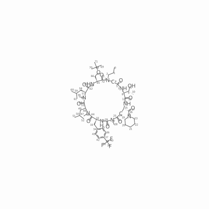 CCCN1CC(=O)N[C@@H]([C@@H](C)O)C(=O)N[C@H](C(=O)N2CCCCC2)CC(=O)N(C)C(=O)N[C@@H](Cc2ccc(C(F)(F)F)cc2)C(=O)N(C)C(CC(C)C)C(=O)N(C)[C@@H](CC(C)C)C(=O)N[C@@H](COC(C)(C)C)C1=O